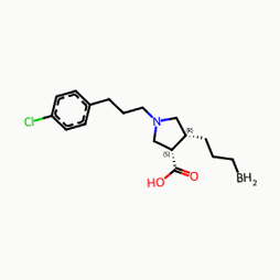 BCCC[C@H]1CN(CCCc2ccc(Cl)cc2)C[C@H]1C(=O)O